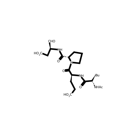 CC[C@H](C)[C@H](NC(C)=O)C(=O)N[C@@H](CCC(=O)O)C(=O)N1CCC[C@H]1C(=O)N[C@H](C=O)CC(=O)O